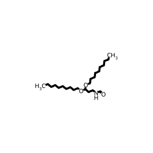 CCCCCCCCCCOC(CCNC=O)OCCCCCCCCCC